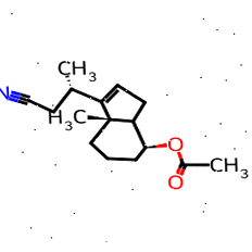 CC(=O)O[C@H]1CCC[C@]2(C)C([C@@H](C)CC#N)=CCC12